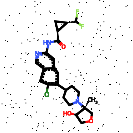 C[C@]1(N2CCC(c3cc4cc(NC(=O)[C@H]5C[C@@H]5C(F)F)ncc4cc3Cl)CC2)COC[C@H]1O